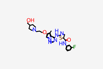 Cc1c(OCCCN2CCC(CO)CC2)cn2ncnc(NC3=NCC(C(=O)Nc4cccc(F)c4)S3)c12